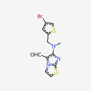 CN(Cc1cc(Br)cs1)c1nc2sccn2c1C=O